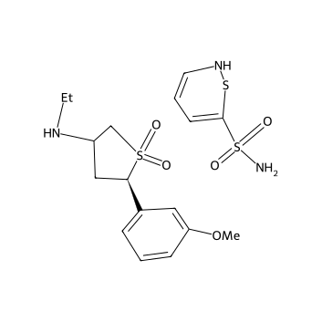 CCNC1C[C@H](c2cccc(OC)c2)S(=O)(=O)C1.NS(=O)(=O)C1=CC=CNS1